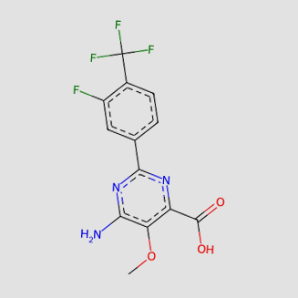 COc1c(N)nc(-c2ccc(C(F)(F)F)c(F)c2)nc1C(=O)O